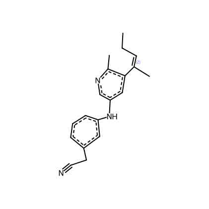 CC/C=C(/C)c1cc(Nc2cccc(CC#N)c2)cnc1C